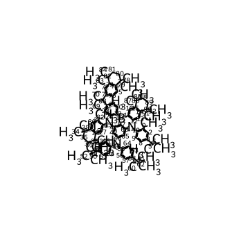 Cc1cc(C(C)(C)C)ccc1N1c2cc3c(cc2B2c4cc5c(cc4N(c4cc6c(cc4C)C(C)(C)CCC6(C)C)c4cc(N(c6ccc(C(C)(C)C)cc6)c6ccc(C(C)(C)C)cc6)cc1c42)C(C)(C)c1cc2c(cc1-5)C(C)(C)CCC2(C)C)C(C)(C)CCC3(C)C